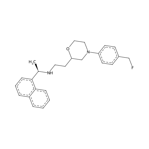 C[C@@H](NCCC1CN(c2ccc(CF)cc2)CCO1)c1cccc2ccccc12